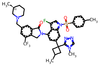 Cc1ccc(S(=O)(=O)n2cc(F)c3c(N4Cc5c(cc(CN6CCC[C@H](C)C6)cc5C(F)(F)F)C4=O)cc(C4(c5nncn5C)CC(C)C4)cc32)cc1